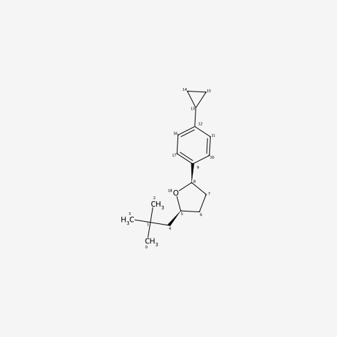 CC(C)(C)C[C@@H]1CC[C@H](c2ccc(C3CC3)cc2)O1